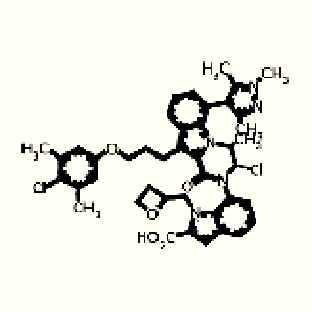 Cc1cc(OCCCc2c3n(c4c(-c5c(C)nn(C)c5C)cccc24)C(C)[C@@H](Cl)N(c2cccc4cc(C(=O)O)n(CC5CCO5)c24)C3=O)cc(C)c1Cl